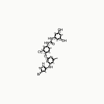 Cc1cc(Nc2cc(Br)n[nH]2)nc(Oc2ccc(NC(=O)Nc3cc(O)cc(O)c3)cc2Cl)n1